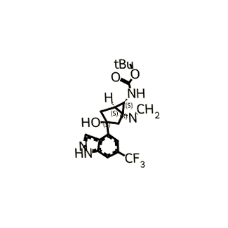 C=N[C@]12C[C@](O)(c3cc(C(F)(F)F)cc4[nH]ncc34)C[C@H]1[C@@H]2NC(=O)OC(C)(C)C